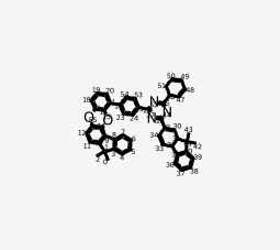 CC1(C)c2ccccc2-c2c1ccc1c2Oc2c(cccc2-c2ccc(-c3nc(C4=CC5C(C=C4)c4ccccc4C5(C)C)nc(C4C=CC=CC4)n3)cc2)O1